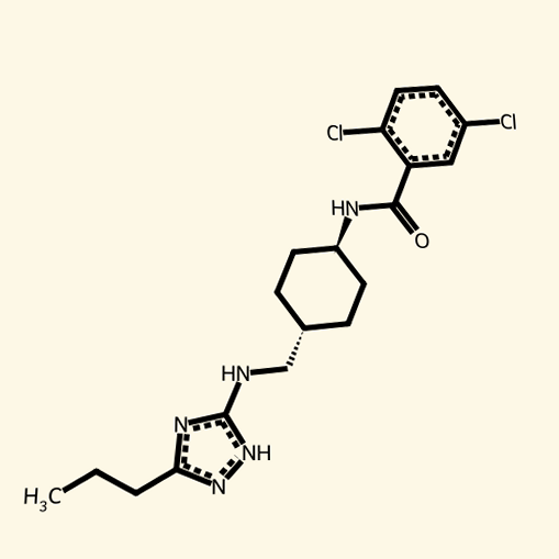 CCCc1n[nH]c(NC[C@H]2CC[C@H](NC(=O)c3cc(Cl)ccc3Cl)CC2)n1